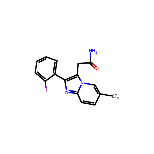 NC(=O)Cc1c(-c2ccccc2I)nc2ccc(C(F)(F)F)cn12